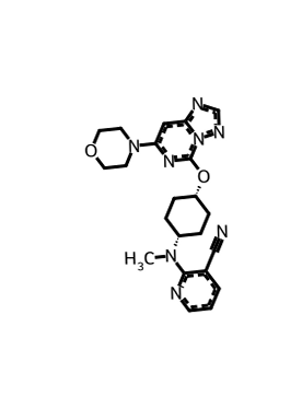 CN(c1ncccc1C#N)[C@H]1CC[C@@H](Oc2nc(N3CCOCC3)cc3ncnn23)CC1